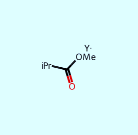 COC(=O)C(C)C.[Y]